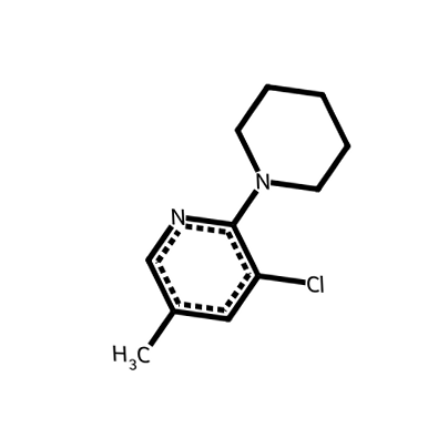 Cc1cnc(N2CCCCC2)c(Cl)c1